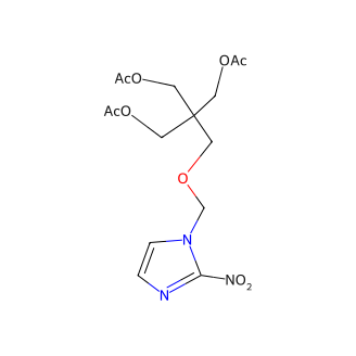 CC(=O)OCC(COCn1ccnc1[N+](=O)[O-])(COC(C)=O)COC(C)=O